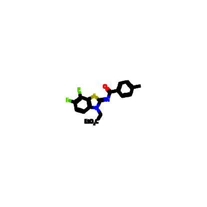 CCOC(=O)Cn1/c(=N/C(=O)c2ccc(C)cc2)sc2c(F)c(F)ccc21